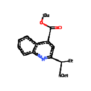 CCCCCCCCC(CC)c1cc(C(=O)OC(C)(C)C)c2ccccc2n1